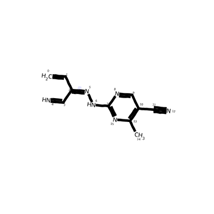 C=C/C(C=N)=N/Nc1ncc(C#N)c(C)n1